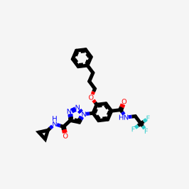 O=C(NCC(F)(F)F)c1ccc(-n2cc(C(=O)NC3CC3)nn2)c(OCCCc2ccccc2)c1